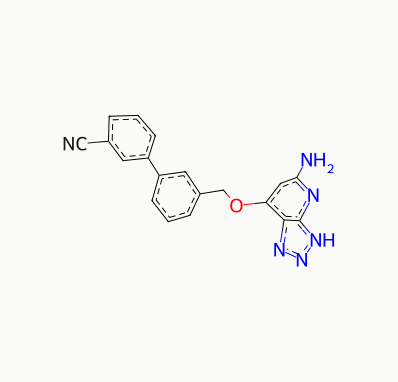 N#Cc1cccc(-c2cccc(COc3cc(N)nc4[nH]nnc34)c2)c1